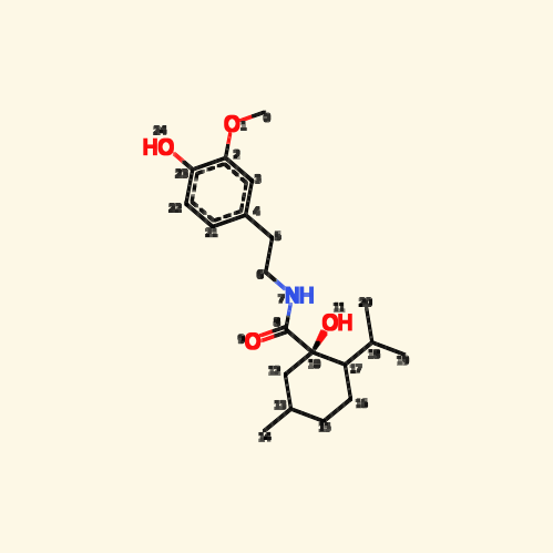 COc1cc(CCNC(=O)[C@@]2(O)CC(C)CCC2C(C)C)ccc1O